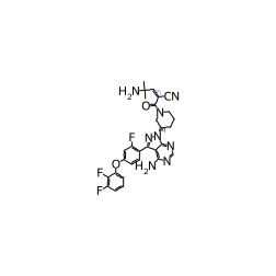 CC(C)(N)/C=C(/C#N)C(=O)N1CCC[C@@H](n2nc(-c3ccc(Oc4cccc(F)c4F)cc3F)c3c(N)ncnc32)C1